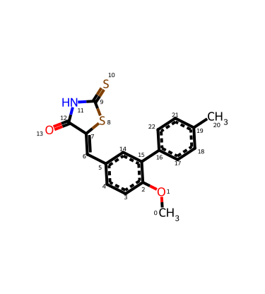 COc1ccc(/C=C2\SC(=S)NC2=O)cc1-c1ccc(C)cc1